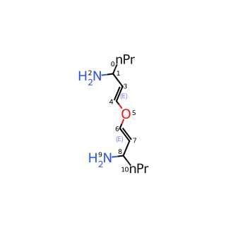 CCCC(N)/C=C/O/C=C/C(N)CCC